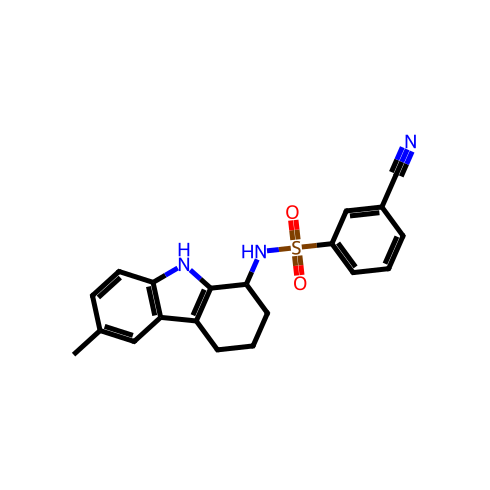 Cc1ccc2[nH]c3c(c2c1)CCCC3NS(=O)(=O)c1cccc(C#N)c1